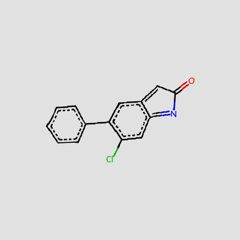 O=C1C=c2cc(-c3ccccc3)c(Cl)cc2=N1